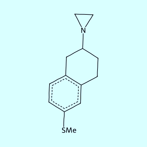 CSc1ccc2c(c1)CCC(N1CC1)C2